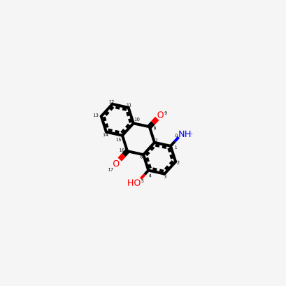 [NH]c1ccc(O)c2c1C(=O)c1ccccc1C2=O